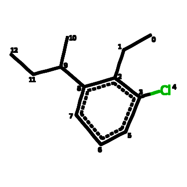 CCc1c(Cl)cccc1C(C)CC